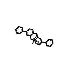 CC1(C)CC2c3ccc(-c4ccccc4)cc3C1C1C3C=C(c4ccccc4)C(O3)C21